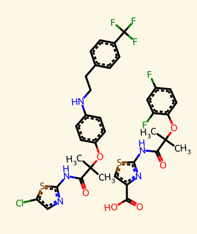 CC(C)(Oc1ccc(F)cc1F)C(=O)Nc1nc(C(=O)O)cs1.CC(C)(Oc1ccc(NCCc2ccc(C(F)(F)F)cc2)cc1)C(=O)Nc1ncc(Cl)s1